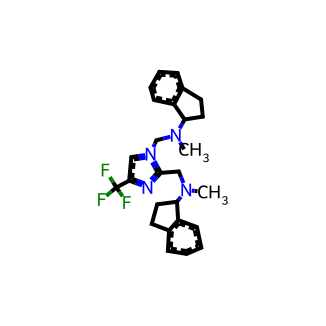 CN(Cc1nc(C(F)(F)F)cn1CN(C)C1CCc2ccccc21)C1CCc2ccccc21